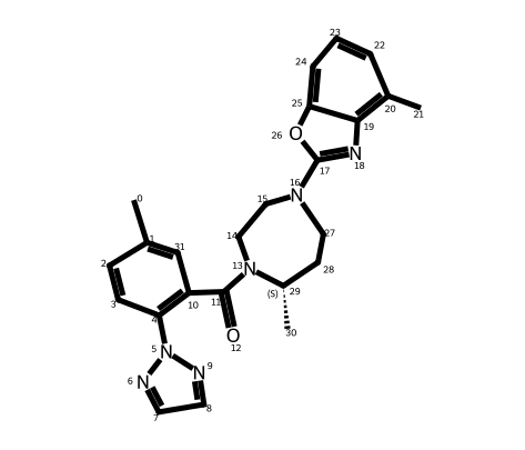 Cc1ccc(-n2nccn2)c(C(=O)N2CCN(c3nc4c(C)cccc4o3)CC[C@@H]2C)c1